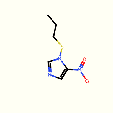 [CH2]CCSn1cncc1[N+](=O)[O-]